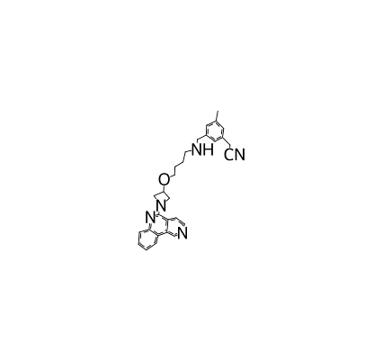 Cc1cc(CC#N)cc(CNCCCCOC2CN(c3nc4ccccc4c4cnccc34)C2)c1